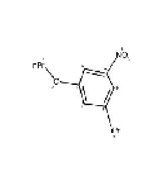 [CH2]C(C)c1cc(OCCC)cc([N+](=O)[O-])c1